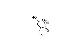 CCC(CC(O)O)C(=O)O